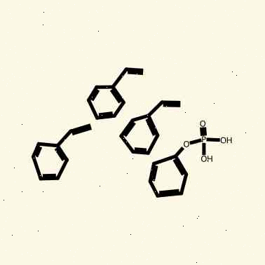 C=Cc1ccccc1.C=Cc1ccccc1.C=Cc1ccccc1.O=P(O)(O)Oc1ccccc1